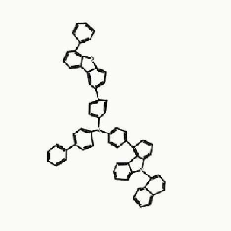 c1ccc(-c2ccc(N(c3ccc(-c4ccc5oc6c(-c7ccccc7)cccc6c5c4)cc3)c3ccc(-c4cccc5c4c4ccccc4n5-c4cccc5ccccc45)cc3)cc2)cc1